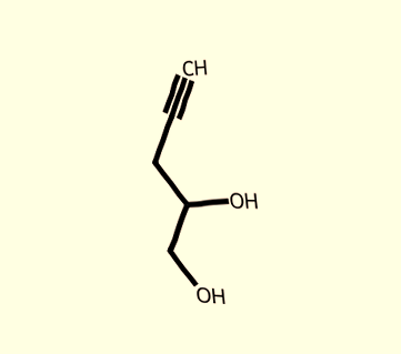 C#CCC(O)CO